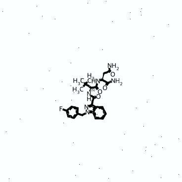 CC(C)(C)[C@H](NC(=O)c1nn(Cc2ccc(F)cc2)c2ccccc12)C(=O)N[C@@H](CC(N)=O)C(N)=O